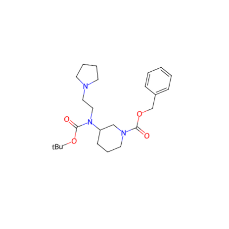 CC(C)(C)OC(=O)N(CCN1CCCC1)C1CCCN(C(=O)OCc2ccccc2)C1